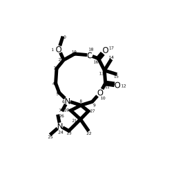 COC1CCCN(C)C2(COC(=O)C(C)(C)C(=O)CC1)CC(C)(CN(C)C)C2